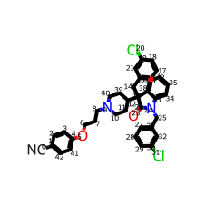 N#Cc1ccc(OCCCN2CCC(C3(Cc4cccc(Cl)c4)C(=O)N(Cc4cccc(Cl)c4)c4ccccc43)CC2)cc1